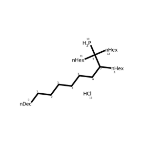 CCCCCCCCCCCCCCCCC(CCCCCC)C(P)(CCCCCC)CCCCCC.Cl